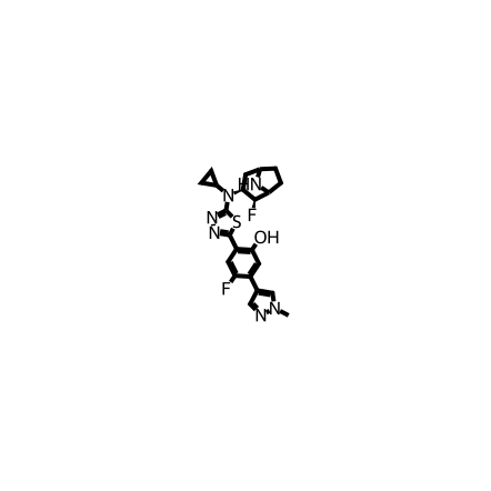 Cn1cc(-c2cc(O)c(-c3nnc(N(C4CC4)[C@H]4CC5CCC(N5)[C@H]4F)s3)cc2F)cn1